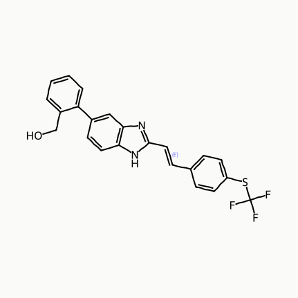 OCc1ccccc1-c1ccc2[nH]c(/C=C/c3ccc(SC(F)(F)F)cc3)nc2c1